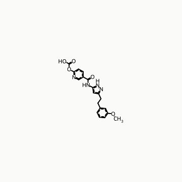 COc1cccc(CCc2cc(NC(=O)c3ccc(OC(=O)O)nc3)[nH]n2)c1